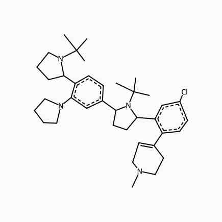 CN1CC=C(c2ccc(Cl)cc2C2CCC(c3ccc(C4CCCN4C(C)(C)C)c(N4CCCC4)c3)N2C(C)(C)C)CC1